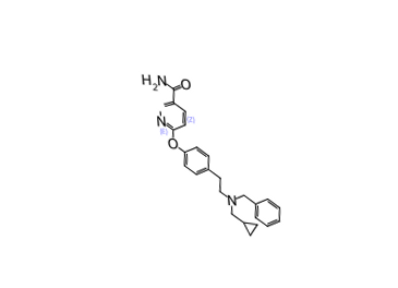 C=C(/C=C\C(=N/C)Oc1ccc(CCN(Cc2ccccc2)CC2CC2)cc1)C(N)=O